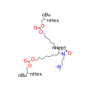 CCCCCCCC(=O)N(CCCN(C)C)C(CCCCCCCOC(=O)OCC(CCCC)CCCCCC)CCCCCCCOC(=O)OCC(CCCC)CCCCCC